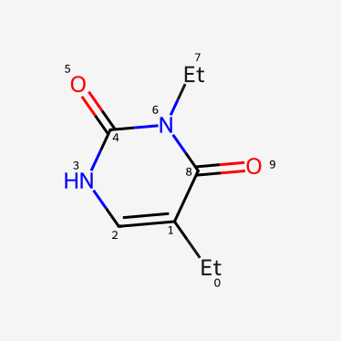 CCc1c[nH]c(=O)n(CC)c1=O